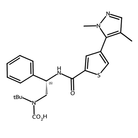 Cc1cnn(C)c1-c1csc(C(=O)N[C@H](CN(C(=O)O)C(C)(C)C)c2ccccc2)c1